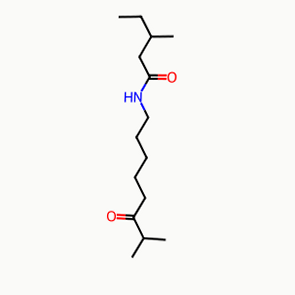 CCC(C)CC(=O)NCCCCCC(=O)C(C)C